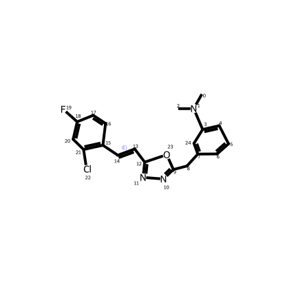 CN(C)c1cccc(Cc2nnc(/C=C/c3ccc(F)cc3Cl)o2)c1